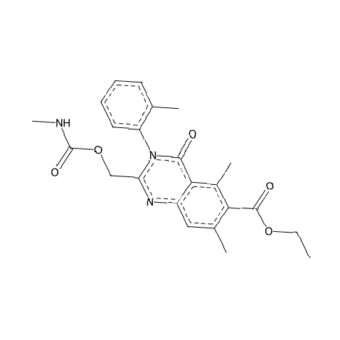 CCOC(=O)c1c(C)cc2nc(COC(=O)NC)n(-c3ccccc3C)c(=O)c2c1C